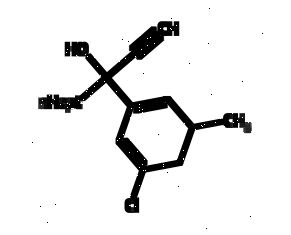 C#CC(O)(CCCCCCC)C1=CC(C)CC(Cl)=C1